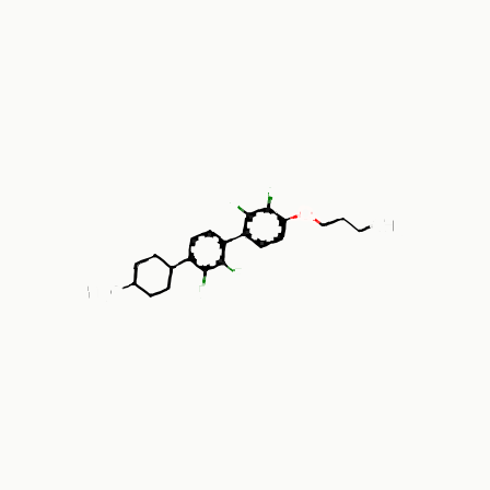 CCCCOc1ccc(-c2ccc(C3CCC(C)CC3)c(F)c2F)c(F)c1F